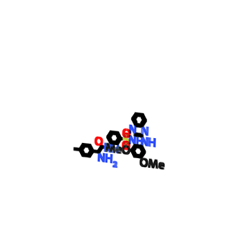 COc1cc(Nc2nc3ccccc3nc2NS(=O)(=O)c2cccc(NC(=O)C(N)c3ccc(C)cc3)c2)cc(OC)c1